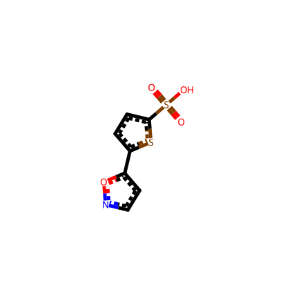 O=S(=O)(O)c1ccc(-c2ccno2)s1